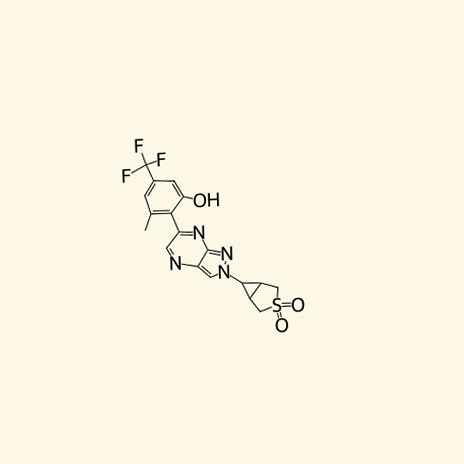 Cc1cc(C(F)(F)F)cc(O)c1-c1cnc2cn(C3C4CS(=O)(=O)CC43)nc2n1